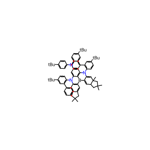 CC1(C)Cc2cc3c(cc2C1)N(c1ccc(C(C)(C)C)cc1-c1ccccc1)c1cc(N(c2ccc(C(C)(C)C)cc2)c2ccc(C(C)(C)C)cc2)cc2c1B3C1=CC3CC(C)(C)CC3(C)C=C1N2c1ccc(C(C)(C)C)cc1-c1ccccc1